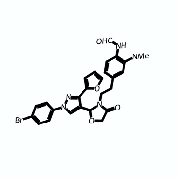 CNc1cc(CCN2C(=O)COC2c2cn(-c3ccc(Br)cc3)nc2-c2ccco2)ccc1NC=O